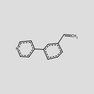 C=Cc1cccc(-c2ccncc2)c1